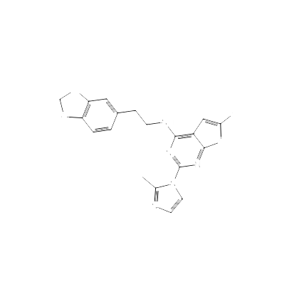 Cc1nccn1-c1nc(NCCc2ccc3c(c2)OCO3)c2cc(Cl)sc2n1